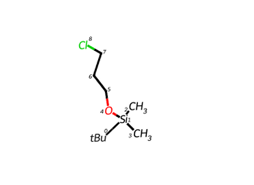 CC(C)(C)[Si](C)(C)OCCCCl